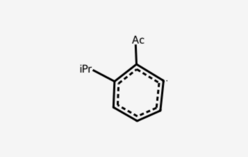 CC(=O)c1[c]cccc1C(C)C